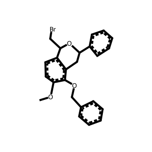 COc1ccc2c(c1OCc1ccccc1)CC(c1ccccc1)OC2CBr